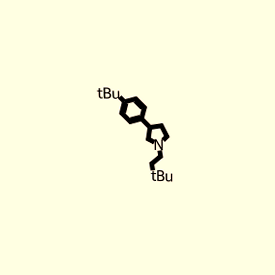 CC(C)(C)CCN1CCC(c2ccc(C(C)(C)C)cc2)C1